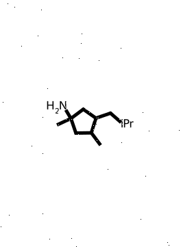 CC(C)CC1CC(C)(N)CC1C